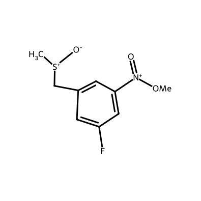 CO[N+](=O)c1cc(F)cc(C[S+](C)[O-])c1